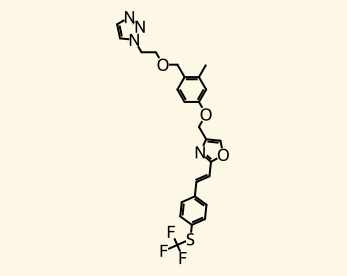 Cc1cc(OCc2coc(C=Cc3ccc(SC(F)(F)F)cc3)n2)ccc1COCCn1ccnn1